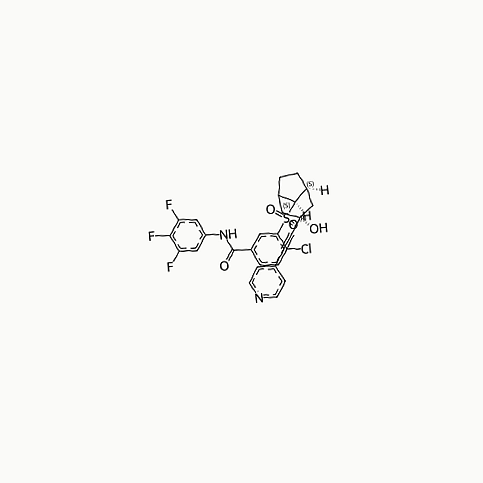 O=C(Nc1cc(F)c(F)c(F)c1)c1ccc(Cl)c(S(=O)(=O)[C@H]2C3CC[C@H]2C[C@@](O)(C#Cc2ccncc2)C3)c1